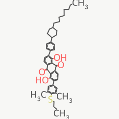 CCCCCCCCC1CCC(c2ccc(-c3ccc4c(c3O)C(=O)c3ccc(-c5cc(C)c(SCCCC)c(C)c5)c(O)c3C4=O)cc2)CC1